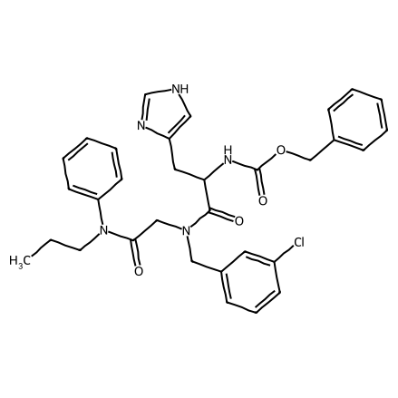 CCCN(C(=O)CN(Cc1cccc(Cl)c1)C(=O)C(Cc1c[nH]cn1)NC(=O)OCc1ccccc1)c1ccccc1